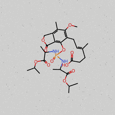 COc1c(C)c2c(c(OP(=O)(NC(C)C(=O)OC(C)C)NC(C)C(=O)OC(C)C)c1C/C=C(\C)CCC(=O)O)C(=O)OC2